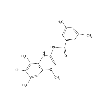 COc1cc(C)c(Cl)c(C)c1NC(=S)NC(=O)c1cc(C)cc(C)c1